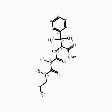 CNC(=O)[C@@H](NC(=O)N(O)C(=O)[C@@H](O)CCC(C)C)C(C)(C)c1ccccc1